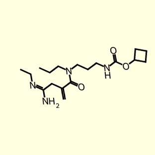 C=C(C/C(N)=N\CC)C(=O)N(CCC)CCCNC(=O)OC1CCC1